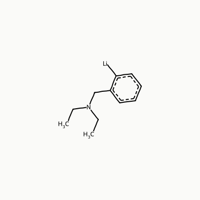 [Li][c]1ccccc1CN(CC)CC